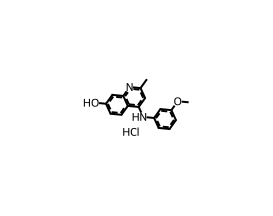 COc1cccc(Nc2cc(C)nc3cc(O)ccc23)c1.Cl